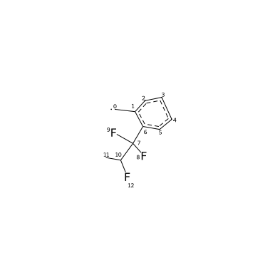 [CH2]c1ccccc1C(F)(F)C(C)F